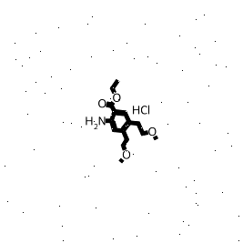 CCOC(=O)c1cc(CCOC)c(CCOC)cc1N.Cl